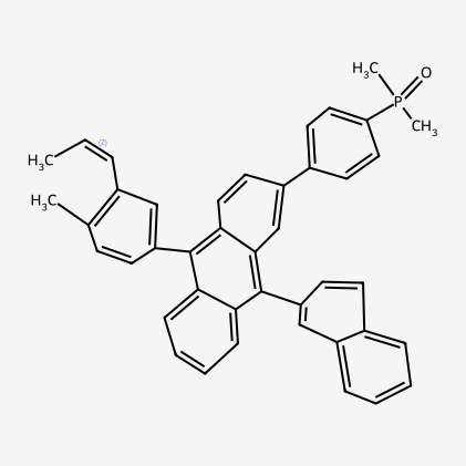 C/C=C\c1cc(-c2c3ccccc3c(-c3ccc4ccccc4c3)c3cc(-c4ccc(P(C)(C)=O)cc4)ccc23)ccc1C